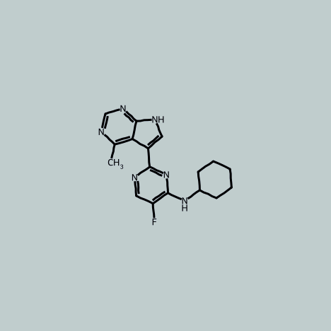 Cc1ncnc2[nH]cc(-c3ncc(F)c(NC4CCCCC4)n3)c12